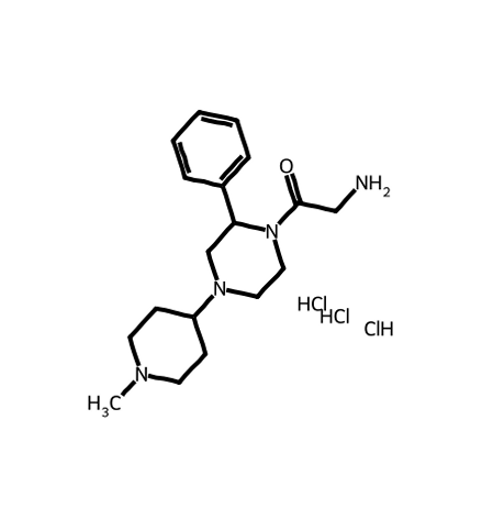 CN1CCC(N2CCN(C(=O)CN)C(c3ccccc3)C2)CC1.Cl.Cl.Cl